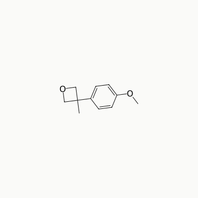 COc1ccc(C2(C)COC2)cc1